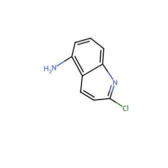 Nc1cccc2nc(Cl)ccc12